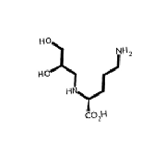 NCCC[C@H](NCC(O)CO)C(=O)O